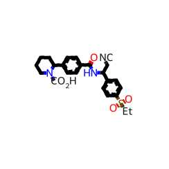 CCS(=O)(=O)c1ccc(C(CC#N)NC(=O)c2ccc(C3CCCCN3C(=O)O)cc2)cc1